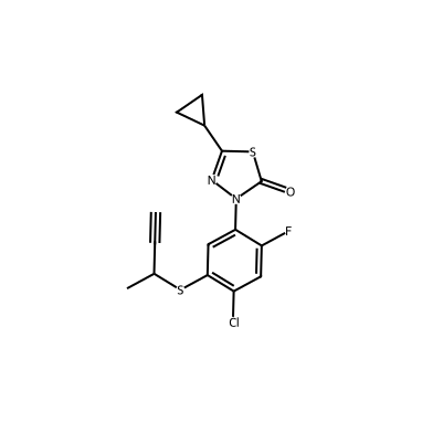 C#CC(C)Sc1cc(-n2nc(C3CC3)sc2=O)c(F)cc1Cl